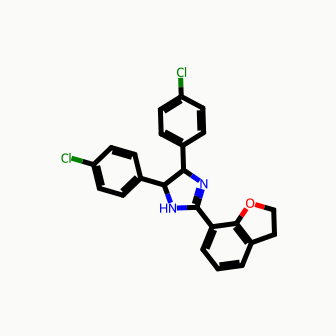 Clc1ccc(C2N=C(c3cccc4c3OCC4)NC2c2ccc(Cl)cc2)cc1